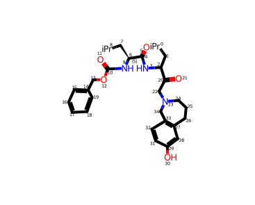 CC(C)CC(NC(=O)[C@H](CC(C)C)NC(=O)OCc1ccccc1)C(=O)CN1CCCc2cc(O)ccc2C1